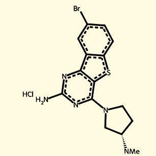 CN[C@H]1CCN(c2nc(N)nc3c2sc2ccc(Br)cc23)C1.Cl